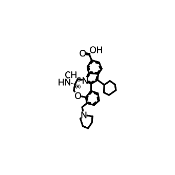 CN[C@H]1COc2c(CN3CCCCC3)cccc2-c2c(C3CCCCC3)c3ccc(C(=O)O)cc3n2C1